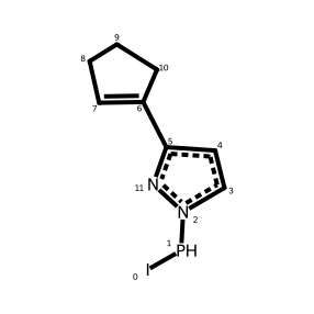 IPn1ccc(C2=CCCC2)n1